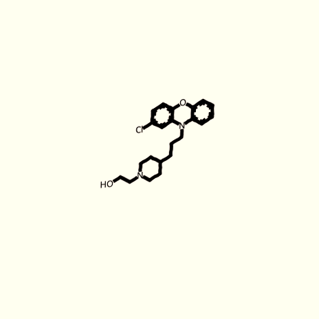 OCCN1CCC(CCCN2c3ccccc3Oc3ccc(Cl)cc32)CC1